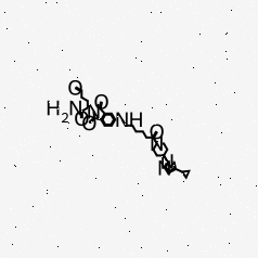 NC(=O)C(CCC=O)N1C(=O)c2ccc(NCCCCCC(=O)N3CCC(n4cc(C5CC5)cn4)CC3)cc2C1=O